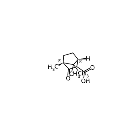 CC1(C)[C@@H]2CC[C@@]1(C)C(=O)C2C(=O)O